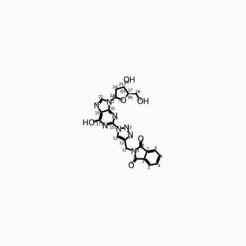 O=C1c2ccccc2C(=O)N1Cc1cn(-c2nc(O)c3ncn([C@H]4C[C@H](O)[C@@H](CO)O4)c3n2)nn1